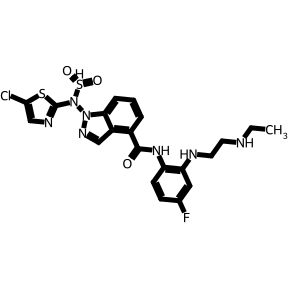 CCNCCNc1cc(F)ccc1NC(=O)c1cccc2c1cnn2N(c1ncc(Cl)s1)[SH](=O)=O